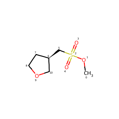 COS(=O)(=O)C[C@@H]1CCOC1